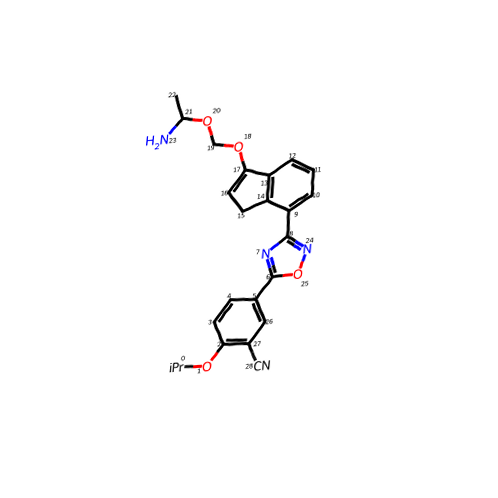 CC(C)Oc1ccc(-c2nc(-c3cccc4c3CC=C4OCOC(C)N)no2)cc1C#N